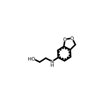 OCCNc1ccc2c(c1)OOC2